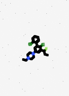 CCC(F)c1cc(N2CCN(CC)CC2)cc(-c2ccccc2Cl)c1Cl